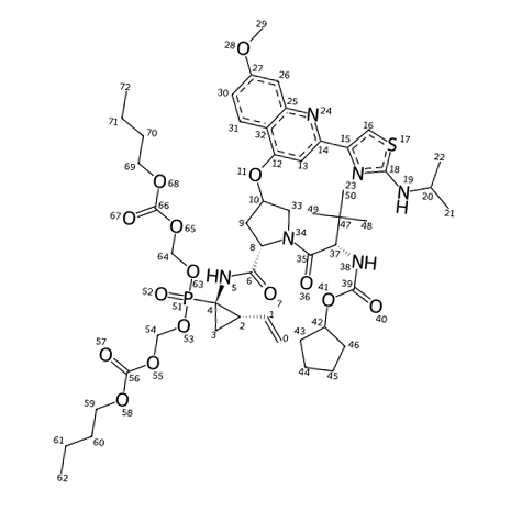 C=C[C@@H]1C[C@]1(NC(=O)[C@@H]1CC(Oc2cc(-c3csc(NC(C)C)n3)nc3cc(OC)ccc23)CN1C(=O)[C@@H](NC(=O)OC1CCCC1)C(C)(C)C)P(=O)(OCOC(=O)OCCCC)OCOC(=O)OCCCC